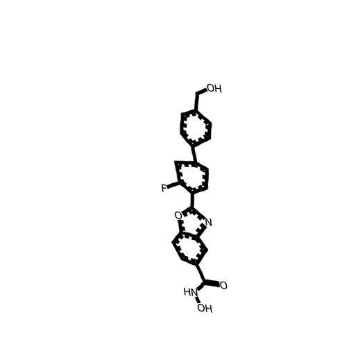 O=C(NO)c1ccc2oc(-c3ccc(-c4ccc(CO)cc4)cc3F)nc2c1